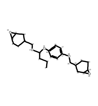 CCCC(OCC1CCC2OC2C1)Oc1ccc(OCC2CCC3OC3C2)cc1